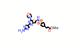 COC(=O)/C=C/c1ccc(S(=O)(=O)Nc2cc3nc(-c4cnc(N)nc4)nc(N4CCOCC4)c3s2)cc1